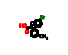 CC1=CC=CC(c2ccc(Br)cc2)(C(C)C(=O)O)C1